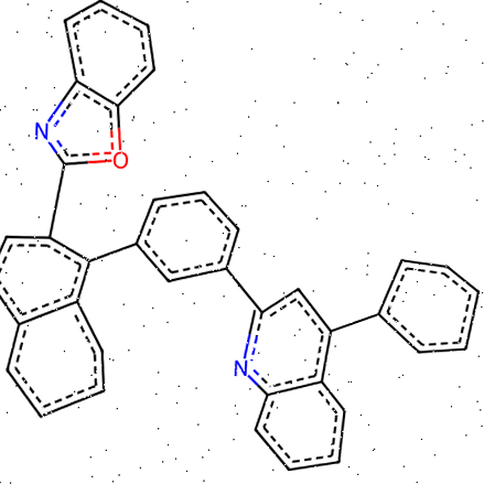 c1ccc(-c2cc(-c3cccc(-c4c(-c5nc6ccccc6o5)ccc5ccccc45)c3)nc3ccccc23)cc1